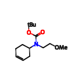 COCCN(C(=O)OC(C)(C)C)C1CC=CCC1